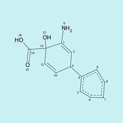 NC1=CC(c2ccccc2)C=CC1(O)C(=O)O